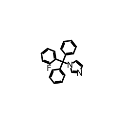 Fc1ccccc1C(c1ccccc1)(c1ccccc1)n1ccnc1